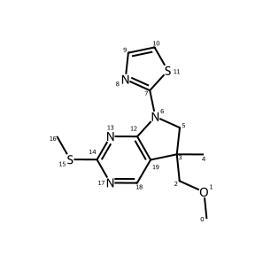 COCC1(C)CN(c2nccs2)c2nc(SC)ncc21